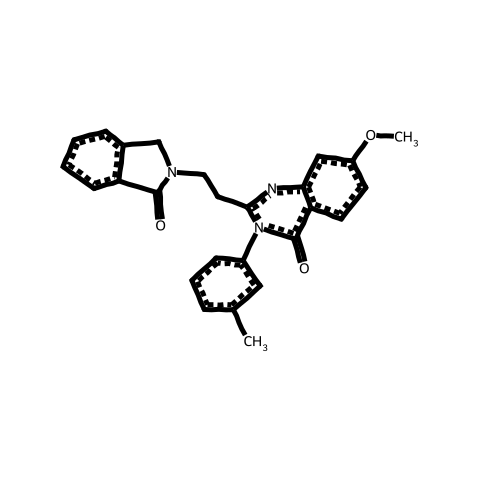 COc1ccc2c(=O)n(-c3cccc(C)c3)c(CCN3Cc4ccccc4C3=O)nc2c1